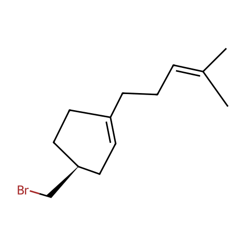 CC(C)=CCCC1=CC[C@@H](CBr)CC1